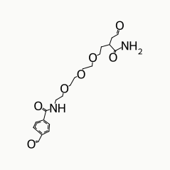 NC(=O)C(CC=O)CCOCCOCCOCCNC(=O)c1ccc(C=O)cc1